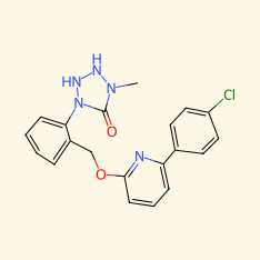 CN1NNN(c2ccccc2COc2cccc(-c3ccc(Cl)cc3)n2)C1=O